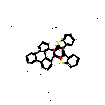 c1ccc2c(c1)sc1cc(-c3cccc4c5ccccc5c5cccc(-c6ccc7c(c6)sc6ccccc67)c5c34)ccc12